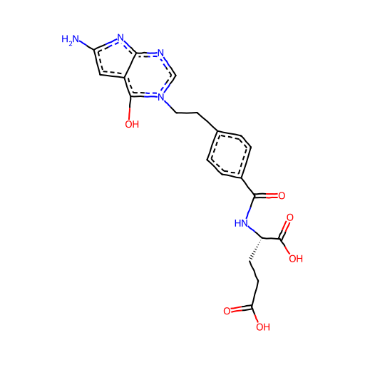 Nc1cc2c(O)n(CCc3ccc(C(=O)N[C@@H](CCC(=O)O)C(=O)O)cc3)cnc-2n1